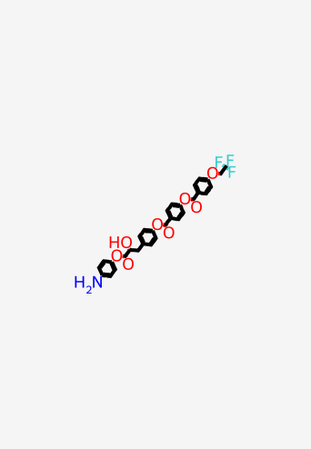 Nc1ccc(OC(=O)C(O)Cc2ccc(OC(=O)c3ccc(OC(=O)c4ccc(OCC(F)(F)F)cc4)cc3)cc2)cc1